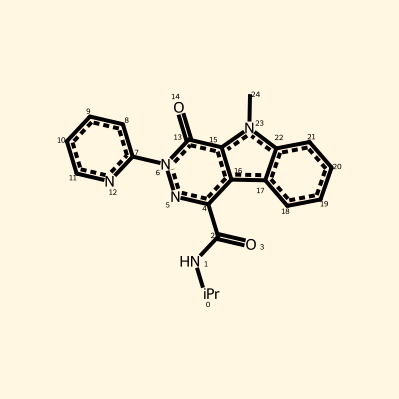 CC(C)NC(=O)c1nn(-c2ccccn2)c(=O)c2c1c1ccccc1n2C